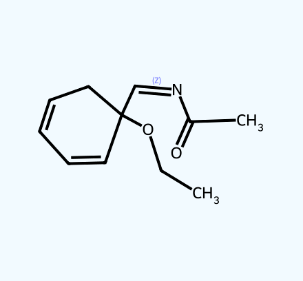 CCOC1(/C=N\C(C)=O)C=CC=CC1